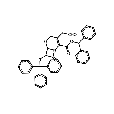 O=CCC1=C(C(=O)OC(c2ccccc2)c2ccccc2)N2C(=O)C(NC(c3ccccc3)(c3ccccc3)c3ccccc3)C2OC1